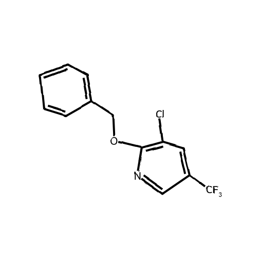 FC(F)(F)c1cnc(OCc2ccccc2)c(Cl)c1